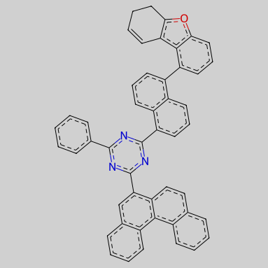 C1=Cc2c(oc3cccc(-c4cccc5c(-c6nc(-c7ccccc7)nc(-c7cc8ccccc8c8c7ccc7ccccc78)n6)cccc45)c23)CC1